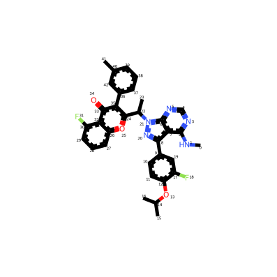 CNc1ncnc2c1c(-c1ccc(OC(C)C)c(F)c1)nn2C(C)c1oc2cccc(F)c2c(=O)c1-c1cccc(C)c1